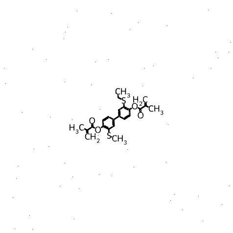 C=C(C)C(=O)Oc1ccc(-c2ccc(OC(=O)C(=C)C)c(SCC)c2)cc1SC